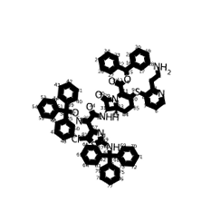 NCCc1ncccc1SC1=C(C(=O)OC(c2ccccc2)c2ccccc2)N2C(=O)[C@@H](NC(=O)/C(=N\OC(c3ccccc3)(c3ccccc3)c3ccccc3)c3nc(NC(c4ccccc4)(c4ccccc4)c4ccccc4)sc3Cl)[C@H]2CC1